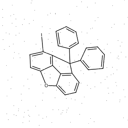 Ic1ccc2oc3cccc4c3c2c1C4(c1ccccc1)c1ccccc1